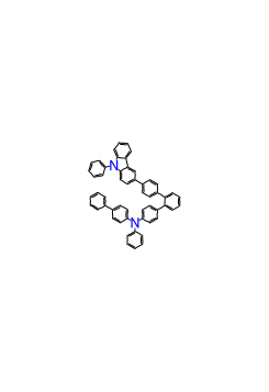 c1ccc(-c2ccc(N(c3ccccc3)c3ccc(-c4ccccc4-c4ccc(-c5ccc6c(c5)c5ccccc5n6-c5ccccc5)cc4)cc3)cc2)cc1